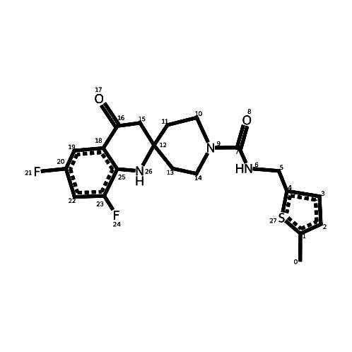 Cc1ccc(CNC(=O)N2CCC3(CC2)CC(=O)c2cc(F)cc(F)c2N3)s1